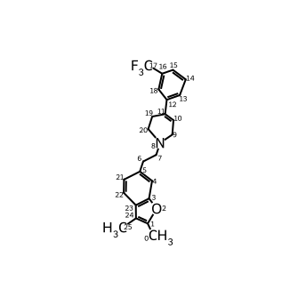 Cc1oc2cc(CCN3CC=C(c4cccc(C(F)(F)F)c4)CC3)ccc2c1C